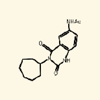 CC(=O)Nc1ccc2[nH]c(=O)n(C3CCCCCC3)c(=O)c2c1